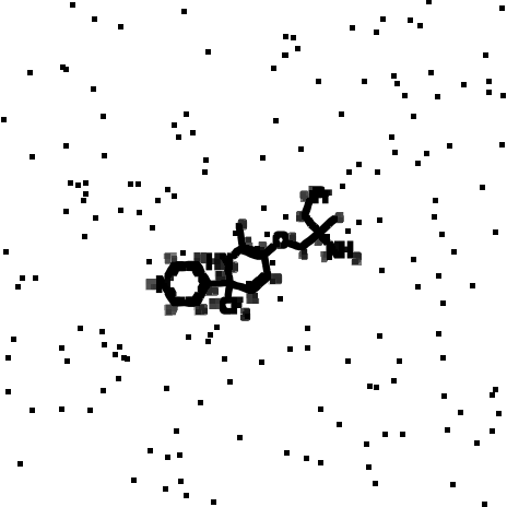 CC1=C(OCC(C)(N)CC(C)C)C=CC(c2ccncc2)(C(F)(F)F)N1